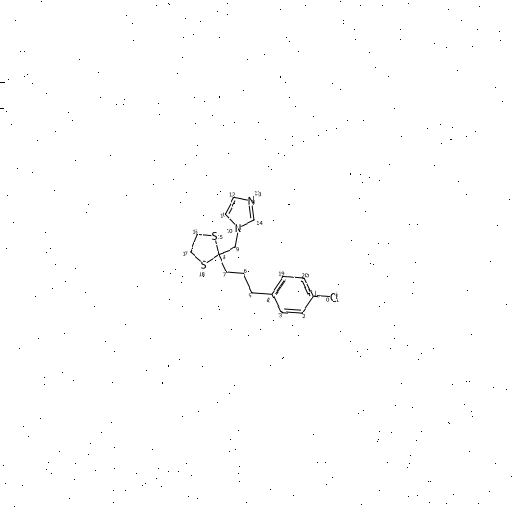 Clc1ccc(CCCC2(Cn3ccnc3)SCCS2)cc1